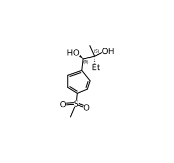 CC[C@](C)(O)[C@H](O)c1ccc(S(C)(=O)=O)cc1